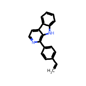 C=Cc1ccc(-c2nccc3c2[nH]c2ccccc23)cc1